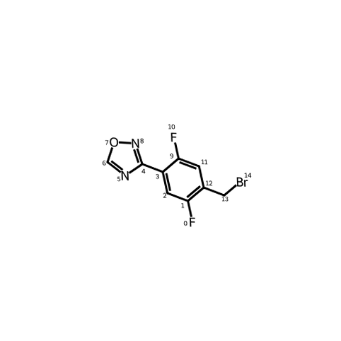 Fc1cc(-c2ncon2)c(F)cc1CBr